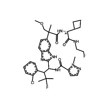 COCC(C)(C(=O)N[C@@H](C(=O)NCCF)C1CCC1)c1ccc2nc(C(NC(=O)c3ccnn3C)C(c3ccccc3Cl)C(C)(C)F)[nH]c2c1